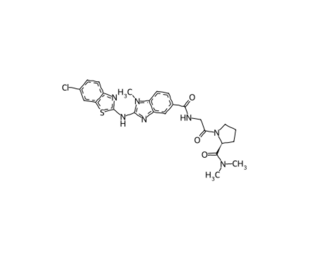 CN(C)C(=O)[C@@H]1CCCN1C(=O)CNC(=O)c1ccc2c(c1)nc(Nc1nc3ccc(Cl)cc3s1)n2C